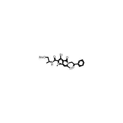 CCc1c(C(=O)NC(C)COC)n(C)c2cc(CC)n(CC(=O)c3ccccc3)c(=O)c12